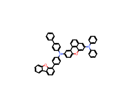 c1ccc(-c2ccc(N(c3ccc(-c4cccc5c4oc4ccccc45)cc3)c3ccc4c(c3)-c3cccc5cc(N(c6ccccc6)c6ccccc6)cc(c35)O4)cc2)cc1